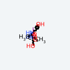 COC(=O)[C@H](CCCCO)NC(=O)[C@H](CC(C)C)NC(=O)[C@@H](I)Cc1ccc(O)cc1